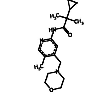 Cc1cnc(NC(=O)C(C)(C)C2CC2)cc1CN1CCOCC1